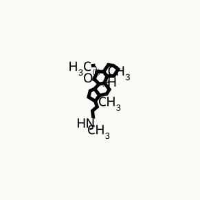 CC[C@H]1C(=O)C2C3CCC(CCCNC)C3(C)CC[C@@H]2C2(C)CCCCC12